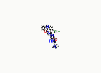 Cc1ccc2c(c1)c(C(=O)N1CCN(c3ccc(C(=O)NCCC4CCCN4C)cn3)CC1)c(-c1ccccc1)n2C.Cl